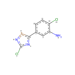 Nc1cc(-c2nc(Cl)ns2)ccc1Cl